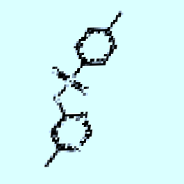 Cc1ccc(S(=O)(=O)Oc2cc(C)ncn2)cc1